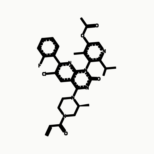 C=CC(=O)N1CCN(c2nc(=O)n(-c3c(C(C)C)ncc(OC(C)=O)c3C)c3nc(-c4ccccc4F)c(Cl)cc23)[C@@H](C)C1